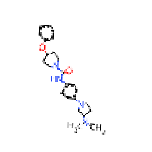 CN(C)C1CCN(c2ccc(NC(=O)N3CCC(Oc4ccccc4)CC3)cc2)C1